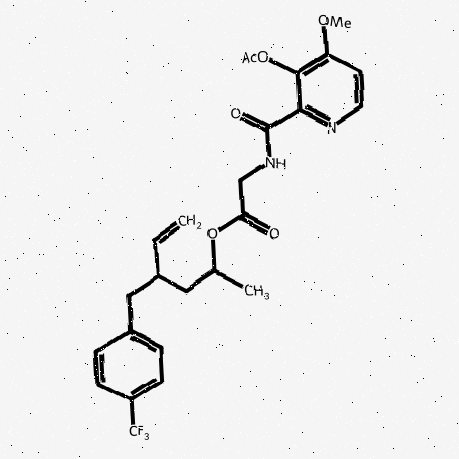 C=CC(Cc1ccc(C(F)(F)F)cc1)CC(C)OC(=O)CNC(=O)c1nccc(OC)c1OC(C)=O